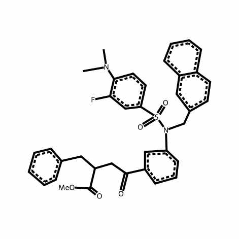 COC(=O)C(CC(=O)c1cccc(N(Cc2ccc3ccccc3c2)S(=O)(=O)c2ccc(N(C)C)c(F)c2)c1)Cc1ccccc1